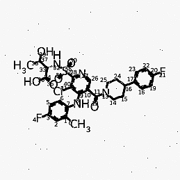 Cc1cc(F)ccc1Nc1c(C(=O)N2CCC(c3ccc(F)cc3)CC2)cnc(S(=O)(=O)N[C@H](C(=O)O)[C@@H](C)O)c1Cl